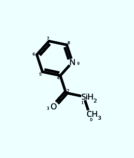 C[SiH2]C(=O)c1ccccn1